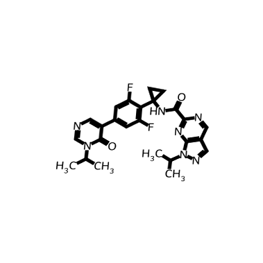 CC(C)n1cncc(-c2cc(F)c(C3(NC(=O)c4ncc5cnn(C(C)C)c5n4)CC3)c(F)c2)c1=O